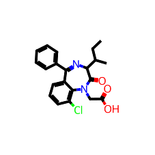 CCC(C)C1N=C(c2ccccc2)c2cccc(Cl)c2N(CC(=O)O)C1=O